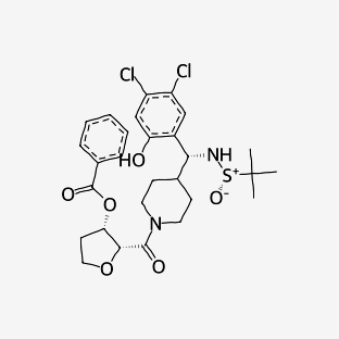 CC(C)(C)[S@+]([O-])N[C@@H](c1cc(Cl)c(Cl)cc1O)C1CCN(C(=O)[C@@H]2OCC[C@@H]2OC(=O)c2ccccc2)CC1